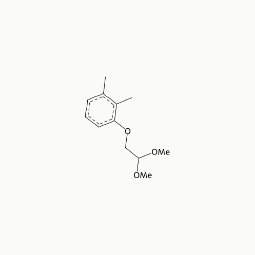 COC(COc1cccc(C)c1C)OC